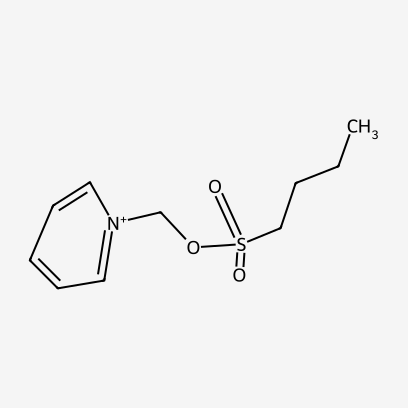 CCCCS(=O)(=O)OC[n+]1ccccc1